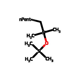 CCCCCC[Si](C)(C)O[Si](C)(C)C